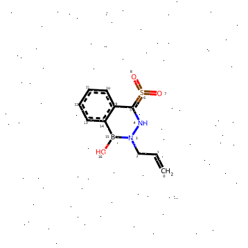 C=CCN1NC(=S(=O)=O)c2ccccc2B1O